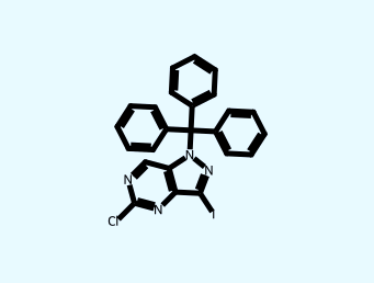 Clc1ncc2c(n1)c(I)nn2C(c1ccccc1)(c1ccccc1)c1ccccc1